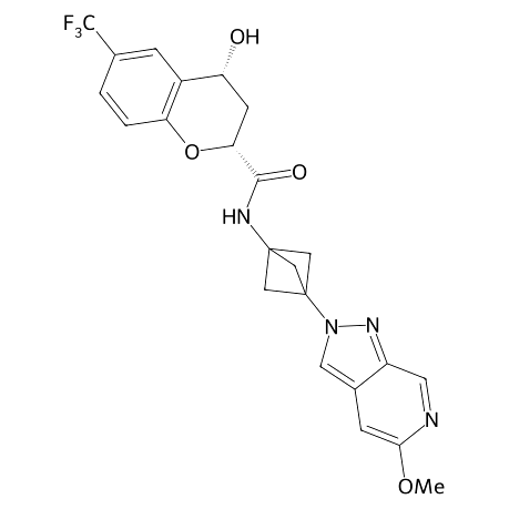 COc1cc2cn(C34CC(NC(=O)[C@H]5C[C@@H](O)c6cc(C(F)(F)F)ccc6O5)(C3)C4)nc2cn1